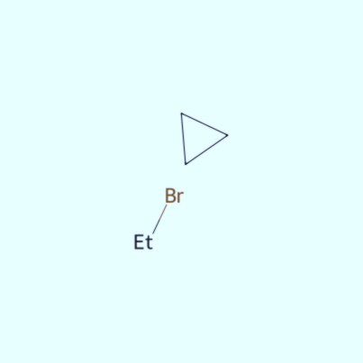 C1CC1.CCBr